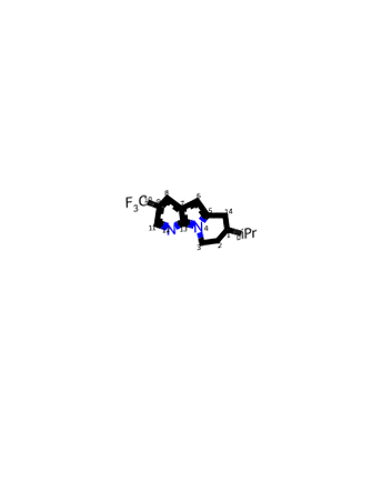 CC(C)C1CCn2c(cc3cc(C(F)(F)F)cnc32)C1